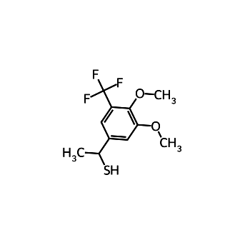 COc1cc(C(C)S)cc(C(F)(F)F)c1OC